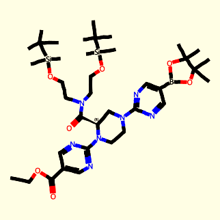 CCOC(=O)c1cnc(N2CCN(c3ncc(B4OC(C)(C)C(C)(C)O4)cn3)C[C@@H]2C(=O)N(CCO[Si](C)(C)C(C)(C)C)CCO[Si](C)(C)C(C)(C)C)nc1